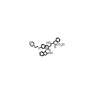 CCOC(=O)NC(Cc1ccccc1)C(O)CC(Cc1ccc(OCCN2CCOCC2)cc1)C(=O)NC1c2ccccc2CC1O